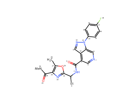 CCC(NC(=O)c1cncc2c1cnn2-c1ccc(F)cc1)c1nc(C(=O)NC)c(C)o1